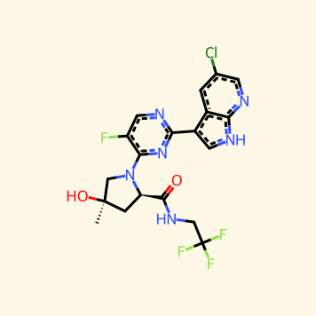 C[C@@]1(O)C[C@H](C(=O)NCC(F)(F)F)N(c2nc(-c3c[nH]c4ncc(Cl)cc34)ncc2F)C1